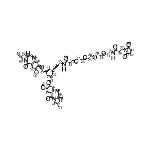 COc1cc2c(cc1OCc1cc(C#CCNC(=O)CCOCCOCCOCCOCCNC(=O)CCN3C(=O)C=CC3=O)cc(COc3cc4c(cc3OC)C(=O)N3C=C(C)C[C@H]3C=N4)c1)N=C[C@@H]1CC(C)=CN1C2=O